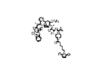 CC[C@H](C)[C@@H]([C@@H](CC(=O)N1CCCC1[C@H](OC)[C@@H](C)C(=O)N[C@@H](Cc1ccccc1)P(=O)(O)O)OC)N(C)C(=O)C(N=C(N(C)C)N1CCN(C(=O)CCCCCN2C(=O)C=CC2=O)CC1)C(C)C